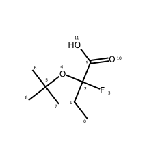 CCC(F)(OC(C)(C)C)C(=O)O